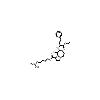 CCOC(=O)C(CCc1ccccc1)NC1CCCN2CCC(C(=O)OCCCCON(O)O)N2C1=O